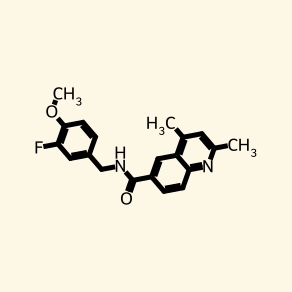 COc1ccc(CNC(=O)c2ccc3nc(C)cc(C)c3c2)cc1F